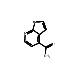 NC(=O)c1ccnc2[nH]ccc12